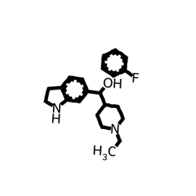 CCN1CCC(C(O)c2ccc3c(c2)NCC3)CC1.Fc1ccccc1